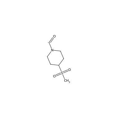 CS(=O)(=O)C1CCN([C]=O)CC1